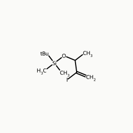 C=C(I)C(C)O[Si](C)(C)C(C)(C)C